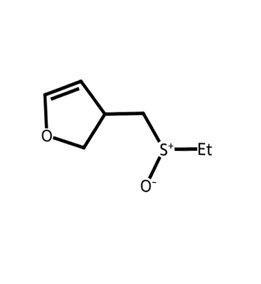 CC[S+]([O-])CC1C=COC1